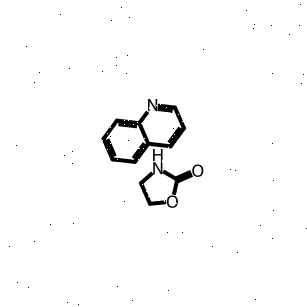 O=C1NCCO1.c1ccc2ncccc2c1